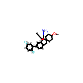 COC1CCC2(CC1)Cc1ccc(-c3cc(F)ccc3F)cc1C21N=C(C)C(N)=N1